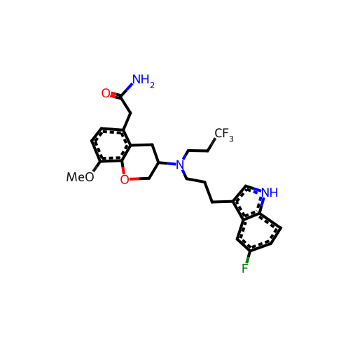 COc1ccc(CC(N)=O)c2c1OCC(N(CCCc1c[nH]c3ccc(F)cc13)CCC(F)(F)F)C2